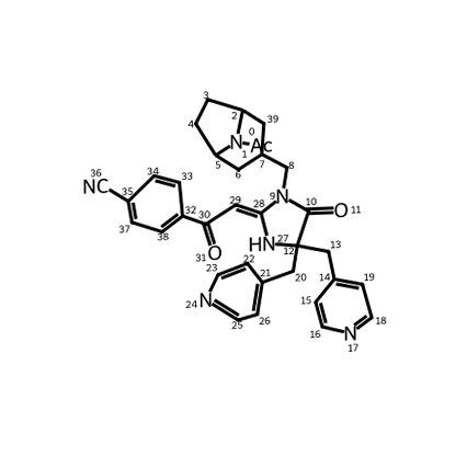 CC(=O)N1C2CCC1CC(CN1C(=O)C(Cc3ccncc3)(Cc3ccncc3)NC1=CC(=O)c1ccc(C#N)cc1)C2